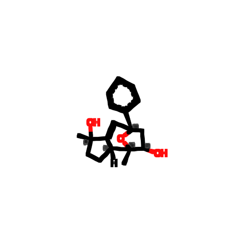 C[C@]12O[C@](c3ccccc3)(C=C3[C@H]1CC[C@]3(C)O)C[C@H]2O